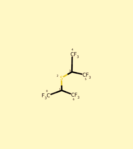 FC(F)(F)C(SC(C(F)(F)F)C(F)(F)F)C(F)(F)F